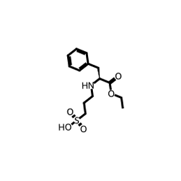 CCOC(=O)[C@H](Cc1ccccc1)NCCCS(=O)(=O)O